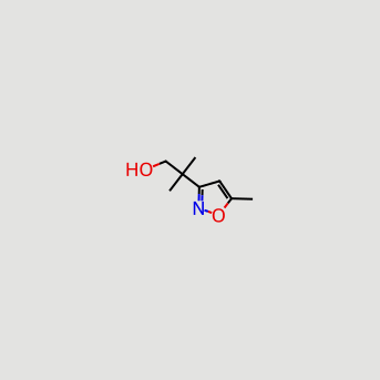 Cc1cc(C(C)(C)CO)no1